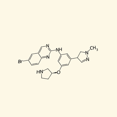 CN1CC(c2cc(Nc3ncc4cc(Br)ccc4n3)cc(O[C@H]3CCNC3)c2)C=N1